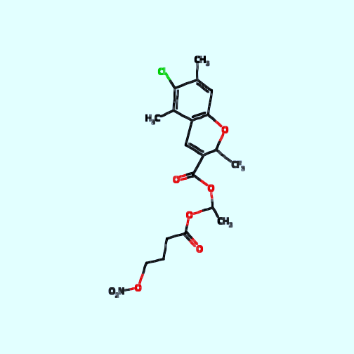 Cc1cc2c(c(C)c1Cl)C=C(C(=O)OC(C)OC(=O)CCCO[N+](=O)[O-])C(C(F)(F)F)O2